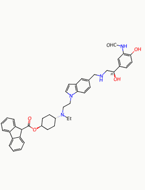 CCN(CCn1ccc2cc(CNC[C@H](O)c3ccc(O)c(NC=O)c3)ccc21)[C@H]1CC[C@H](OC(=O)C2c3ccccc3-c3ccccc32)CC1